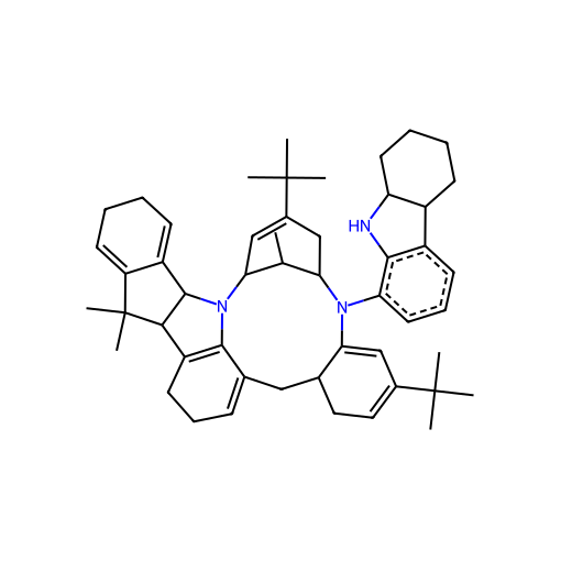 CC1C2CC(C(C)(C)C)=CC1N1C3=C(CCC=C3CC3CC=C(C(C)(C)C)C=C3N2c2cccc3c2NC2CCCCC32)C2C1C1=CCCC=C1C2(C)C